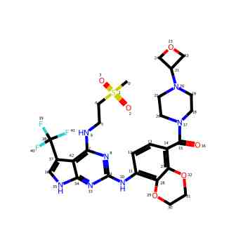 CS(=O)(=O)CCNc1nc(Nc2ccc(C(=O)N3CCN(C4COC4)CC3)c3c2OCCO3)nc2[nH]cc(C(F)(F)F)c12